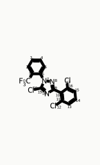 FC(F)(F)c1ccccc1-n1nc(-c2c(Cl)cccc2Cl)nc1Cl